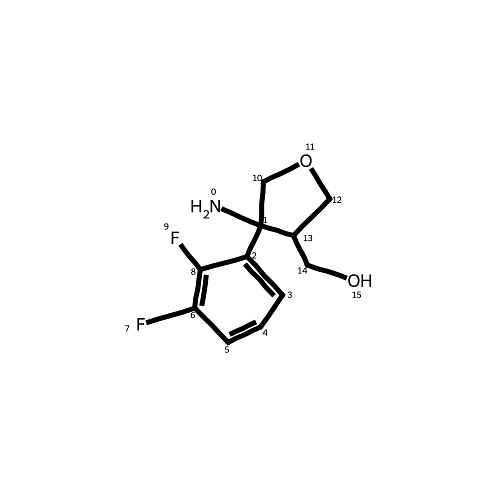 NC1(c2cccc(F)c2F)COCC1CO